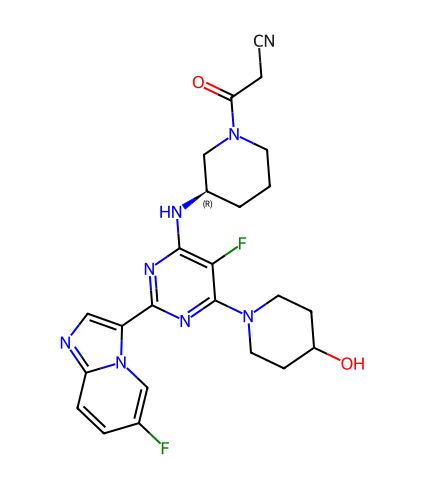 N#CCC(=O)N1CCC[C@@H](Nc2nc(-c3cnc4ccc(F)cn34)nc(N3CCC(O)CC3)c2F)C1